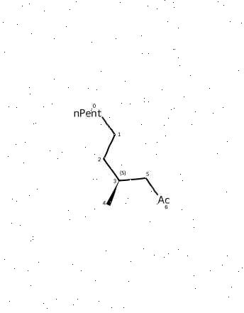 CCCCCCC[C@H](C)CC(C)=O